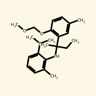 CCC(C)(Pc1c(C)cccc1P(C)C)c1cc(C)ccc1OCOC